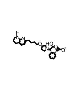 CO[C@H]1C[C@@H]1c1ccccc1[C@H](C(=O)O)N1CC[C@@H](OCCCCc2ccc3c(n2)NCCC3)C1